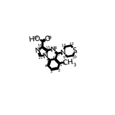 Cc1cccc2c1c(N1CCSCC1)nc1c(C(=O)O)ncn12